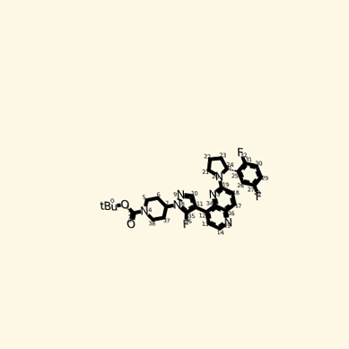 CC(C)(C)OC(=O)N1CCC(n2ncc(-c3ccnc4ccc(N5CCC[C@@H]5c5cc(F)ccc5F)nc34)c2F)CC1